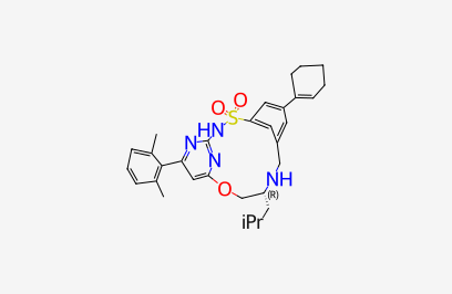 Cc1cccc(C)c1-c1cc2nc(n1)NS(=O)(=O)c1cc(cc(C3=CCCCC3)c1)CN[C@H](CC(C)C)CO2